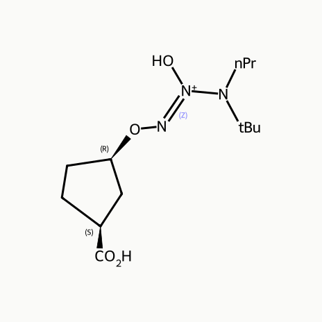 CCCN(/[N+](O)=N/O[C@@H]1CC[C@H](C(=O)O)C1)C(C)(C)C